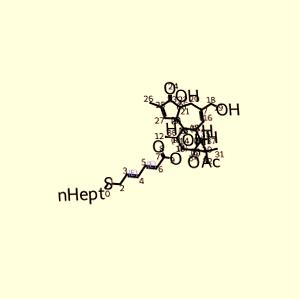 CCCCCCCSC/C=C/C=C/C(=O)O[C@@H]1[C@@H](C)[C@@]2(O)[C@@H](C=C(CO)C[C@]3(O)C(=O)C(C)=C[C@@H]23)[C@@H]2C(C)(C)[C@]12OC(C)=O